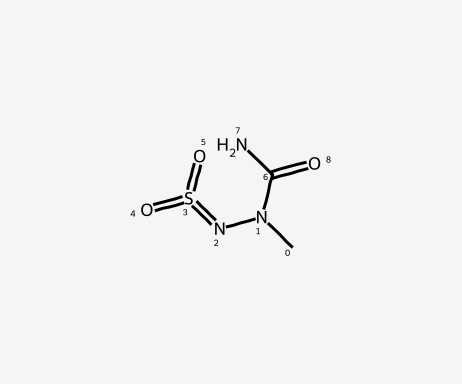 CN(N=S(=O)=O)C(N)=O